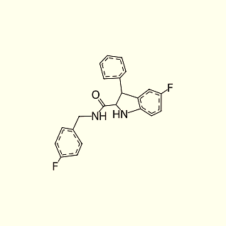 O=C(NCc1ccc(F)cc1)C1Nc2ccc(F)cc2C1c1ccccc1